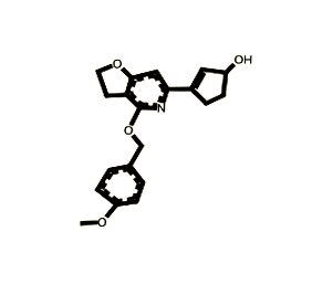 COc1ccc(COc2nc(C3=CC(O)CC3)cc3c2CCO3)cc1